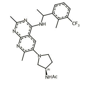 CC(=O)N[C@@H]1CCN(c2cc3c(NC(C)c4cccc(C(F)(F)F)c4C)nc(C)nc3nc2C)C1